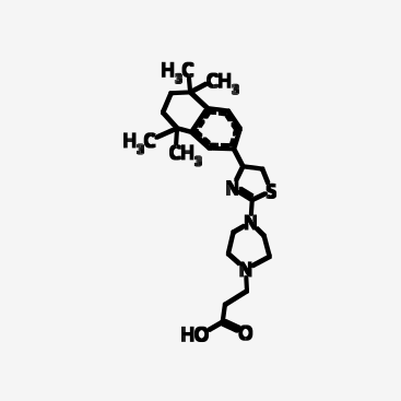 CC1(C)CCC(C)(C)c2cc(C3CSC(N4CCN(CCC(=O)O)CC4)=N3)ccc21